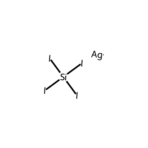 I[Si](I)(I)I.[Ag]